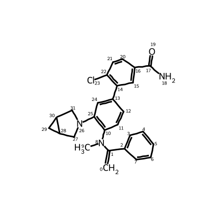 C=C(c1ccccc1)N(C)c1ccc(-c2cc(C(N)=O)ccc2Cl)cc1N1CC2CC2C1